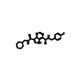 O=C(NCC1CCCCC1)c1c[nH]c2c(C(=O)NCc3ccc(F)cc3)ncnc12